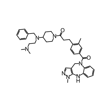 Cc1cc(C(=O)N2Cc3cnn(C)c3Nc3ccccc32)ccc1CCC(=O)N1CCC(N(CCN(C)C)Cc2ccccc2)CC1